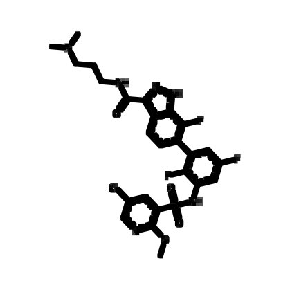 COc1ncc(Cl)cc1S(=O)(=O)Nc1cc(F)cc(-c2ccc3c(C(=O)NCCCN(C)C)n[nH]c3c2F)c1F